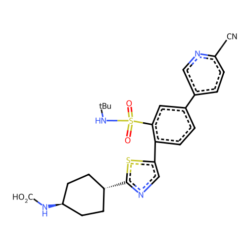 CC(C)(C)NS(=O)(=O)c1cc(-c2ccc(C#N)nc2)ccc1-c1cnc([C@H]2CC[C@H](NC(=O)O)CC2)s1